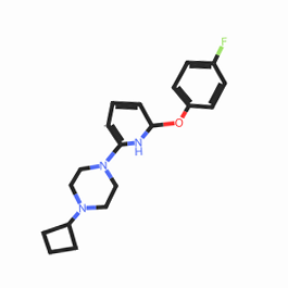 Fc1ccc(OC2C=C[C]=C(N3CCN(C4CCC4)CC3)N2)cc1